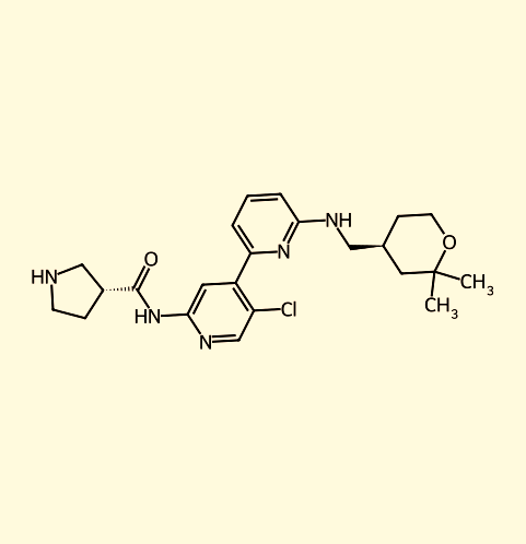 CC1(C)C[C@@H](CNc2cccc(-c3cc(NC(=O)[C@@H]4CCNC4)ncc3Cl)n2)CCO1